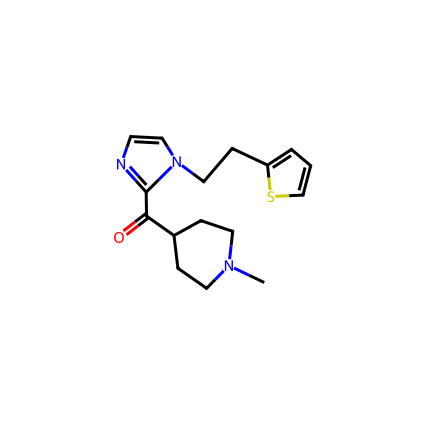 CN1CCC(C(=O)c2nccn2CCc2cccs2)CC1